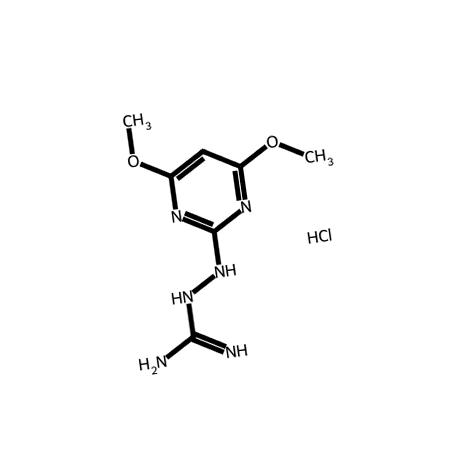 COc1cc(OC)nc(NNC(=N)N)n1.Cl